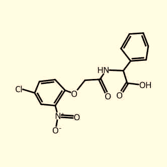 O=C(COc1ccc(Cl)cc1[N+](=O)[O-])NC(C(=O)O)c1ccccc1